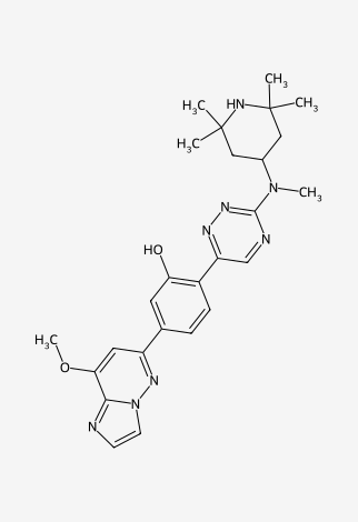 COc1cc(-c2ccc(-c3cnc(N(C)C4CC(C)(C)NC(C)(C)C4)nn3)c(O)c2)nn2ccnc12